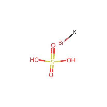 O=S(=O)(O)O.[K][Br]